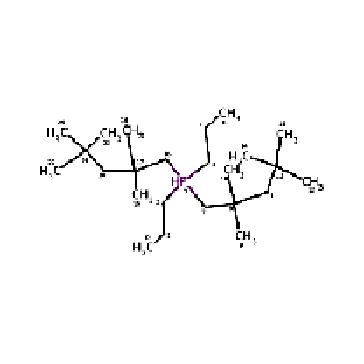 CCC[PH](CCC)(CC(C)(C)CC(C)(C)C)CC(C)(C)CC(C)(C)C